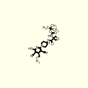 CCc1c(C#N)c(S)nc(N2CCC(NC(=O)C3(NC(=O)OC(C)(C)C)COC3)CC2)c1C#N